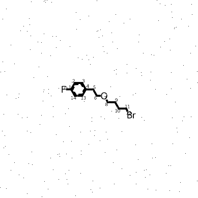 Fc1ccc(CCOCCCCBr)cc1